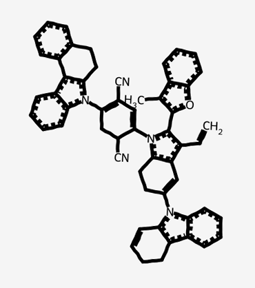 C=Cc1c2c(n(C3=CC(C#N)=C(n4c5c(c6ccccc64)-c4ccccc4CC5)CC3C#N)c1-c1oc3ccccc3c1C)CCC(n1c3c(c4ccccc41)CCC=C3)=C2